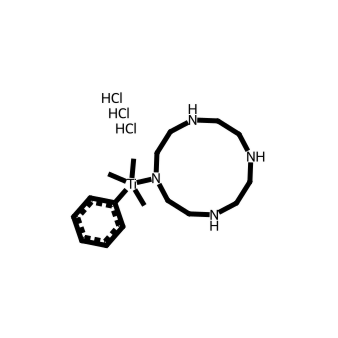 Cl.Cl.Cl.[CH3][Ti]([CH3])([CH3])([c]1ccccc1)[N]1CCNCCNCCNCC1